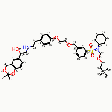 CC1(C)OCc2cc([C@@H](O)CNCCc3ccc(OCCOCc4cccc(S(=O)(=O)N(COCC[Si](C)(C)C)C5CCCCC5)c4)cc3)ccc2O1